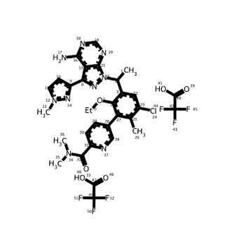 CCOc1c(C(C)n2nc(-c3ccn(C)n3)c3c(N)ncnc32)cc(Cl)c(C)c1-c1ccc(C(=O)N(C)C)nc1.O=C(O)C(F)(F)F.O=C(O)C(F)(F)F